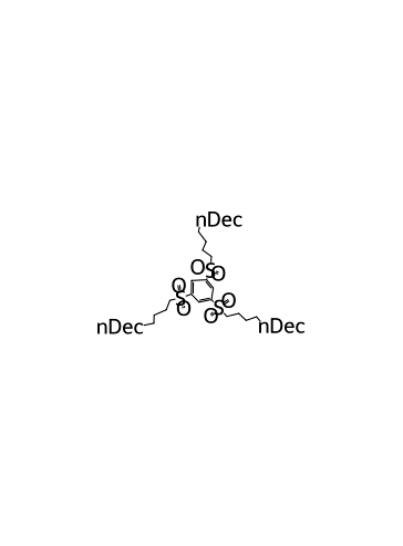 CCCCCCCCCCCCCCS(=O)(=O)c1cc(S(=O)(=O)CCCCCCCCCCCCCC)cc(S(=O)(=O)CCCCCCCCCCCCCC)c1